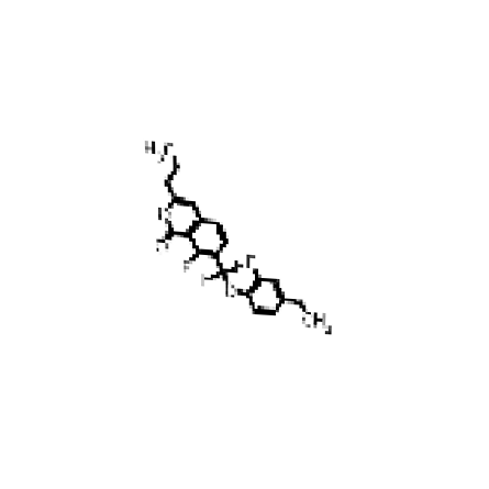 CCCc1cc2ccc(C(F)(F)Oc3ccc(CC)cc3F)c(F)c2c(=O)o1